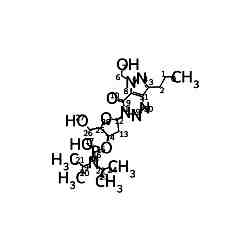 CCCc1nn(CO)c2c(=O)n(C3CC(OP(O)N(C(C)C)C(C)C)C(CO)O3)nnc12